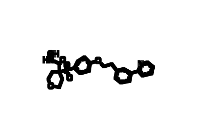 O=C(NO)C1(S(=O)(=O)c2ccc(OCCc3cccc(-c4ccccn4)c3)cc2)CCOCC1